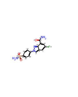 NC(=O)c1cc(F)cc2cn(-c3ccc(S(N)(=O)=O)cc3)nc12